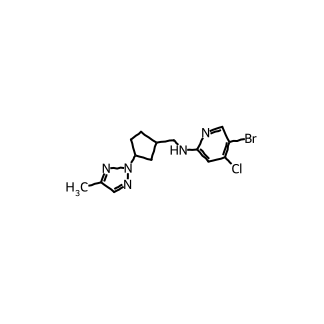 Cc1cnn(C2CCC(CNc3cc(Cl)c(Br)cn3)C2)n1